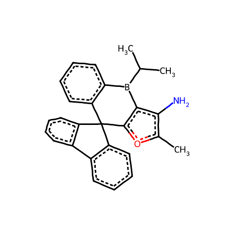 Cc1oc2c(c1N)B(C(C)C)c1ccccc1C21c2ccccc2-c2ccccc21